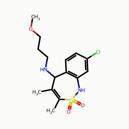 COCCCNC1C(C)=C(C)S(=O)(=O)Nc2cc(Cl)ccc21